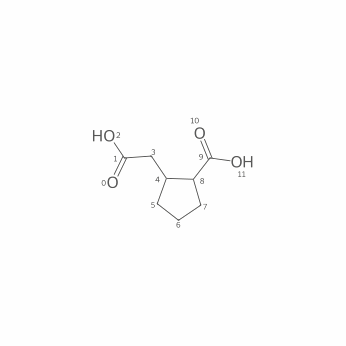 O=C(O)CC1CCCC1C(=O)O